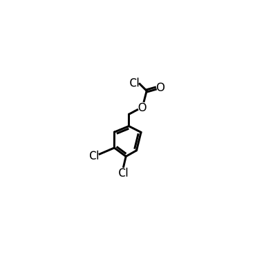 O=C(Cl)OCc1ccc(Cl)c(Cl)c1